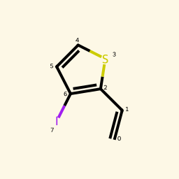 C=Cc1sccc1I